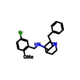 COc1ccc(Br)cc1CNC1C2CCN(CC2)C1Cc1ccccc1